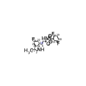 Cc1c[nH]c2c(/C=C/C(=O)NS(=O)(=O)c3cc(F)ccc3F)cc(F)cc12